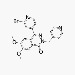 COc1cc2c(-c3ccnc(Br)c3)nn(Cc3ccncc3)c(=O)c2cc1OC